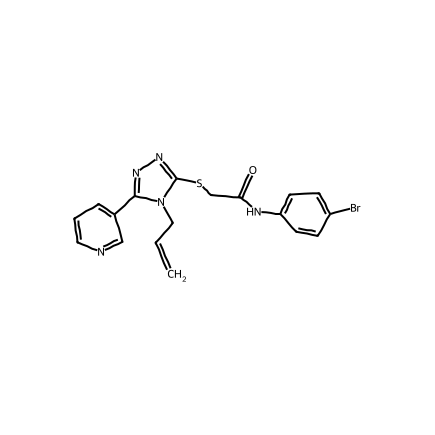 C=CCn1c(SCC(=O)Nc2ccc(Br)cc2)nnc1-c1cccnc1